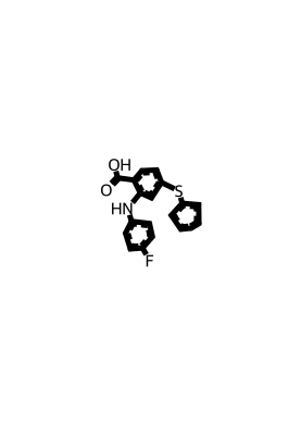 O=C(O)c1ccc(Sc2ccccc2)cc1Nc1ccc(F)cc1